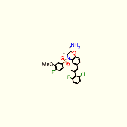 COc1cc(S(=O)(=O)N2c3cc(C=C(C)c4c(F)cccc4Cl)ccc3O[C@@H](CN)[C@H]2C)ccc1F